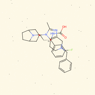 Cc1nc2c(n1C1CC3CCC(C1)N3CC[C@H](NC(=O)O)c1cccc(F)c1)CCN(Cc1ccccc1)C2